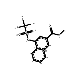 COC(=O)c1cc(OS(=O)(=O)C(F)(F)F)c2ccccc2c1